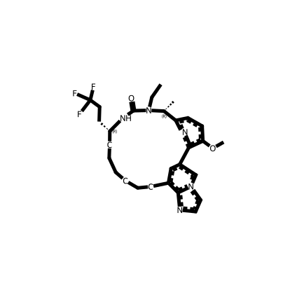 CCN1C(=O)N[C@@H](CCC(F)(F)F)CCCCCCc2cc(cn3ccnc23)-c2nc(ccc2OC)[C@H]1C